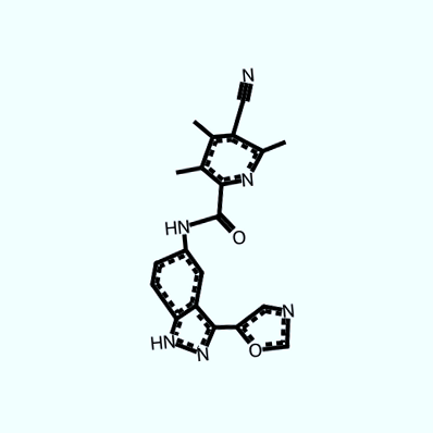 Cc1nc(C(=O)Nc2ccc3[nH]nc(-c4cnco4)c3c2)c(C)c(C)c1C#N